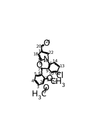 COc1cccc(C(=O)c2cc(Cl)ccc2-n2ccc(C=O)c2)c1OC